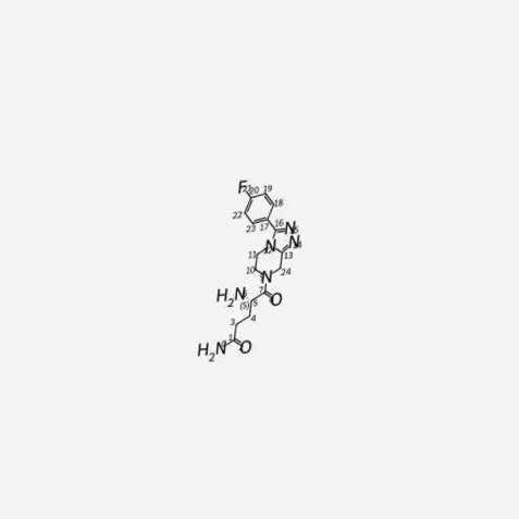 NC(=O)CC[C@H](N)C(=O)N1CCn2c(nnc2-c2ccc(F)cc2)C1